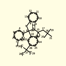 Cc1cccc(C(Cc2ccccc2)(NC(=O)CC(C)(C)C)c2cccc(C(F)(F)F)c2)n1